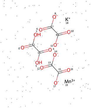 O=C(O)C(=O)O.O=C([O-])C(=O)[O-].O=C([O-])C(=O)[O-].[K+].[Mn+3]